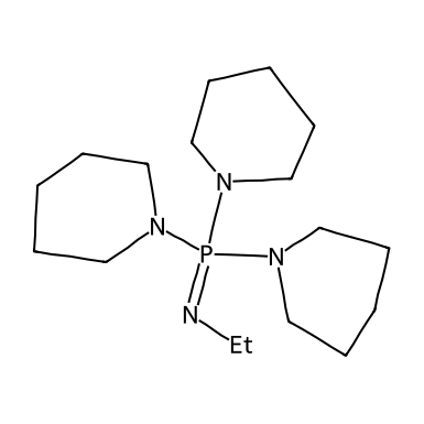 CCN=P(N1CCCCC1)(N1CCCCC1)N1CCCCC1